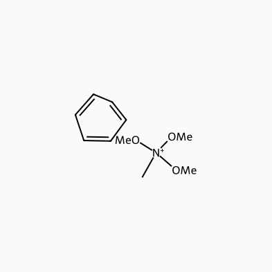 CO[N+](C)(OC)OC.c1ccccc1